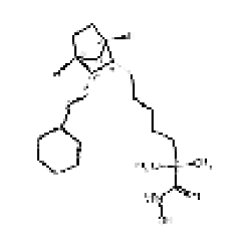 CC(C)(CCCCC[C@@H]1[C@H](CSC2CCCCC2)[C@@H]2CC[C@H]1O2)C(=O)NO